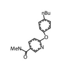 CCCCc1ccc(Oc2ccc(C(=O)NC)cn2)cc1